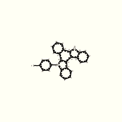 Ic1ccc(-n2c3ccccc3c3c4c5ccccc5oc4c4ccccc4c32)cc1